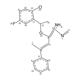 C=N/C(N)=C(\C=C(/C)c1ccccc1)OC(C)c1cc(F)ccc1Cl